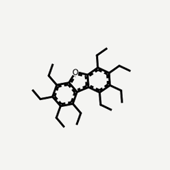 CCc1c(CC)c(CC)c2c(oc3c(CC)c(CC)c(CC)c(CC)c32)c1CC